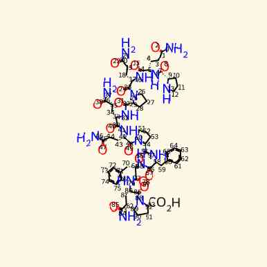 NC(=O)CC[C@H](NC(=O)[C@@H]1CCCN1)C(=O)N[C@@H](CCC(N)=O)C(=O)N1CCC[C@H]1C(=O)N[C@@H](CCC(N)=O)C(=O)N[C@@H](CCC(N)=O)C(=O)N1CCC[C@H]1C(=O)N[C@@H](Cc1ccccc1)C(=O)N[C@@H](Cc1ccccc1)C(=O)N[C@@H](CCC(N)=O)C(=O)N1CCC[C@H]1C(=O)O